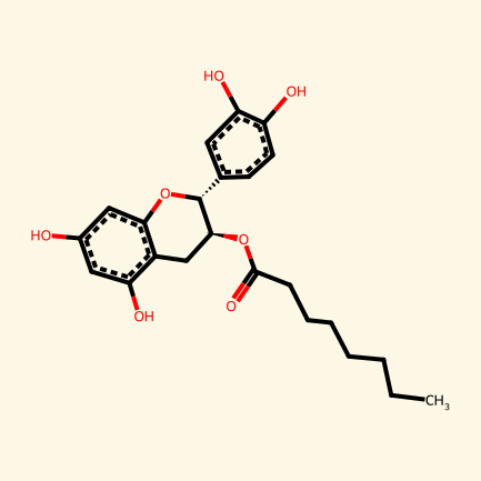 CCCCCCCC(=O)O[C@H]1Cc2c(O)cc(O)cc2O[C@@H]1c1ccc(O)c(O)c1